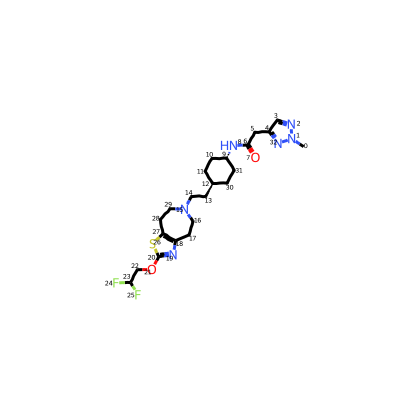 Cn1ncc(CC(=O)N[C@H]2CC[C@H](CCN3CCc4nc(OCC(F)F)sc4CC3)CC2)n1